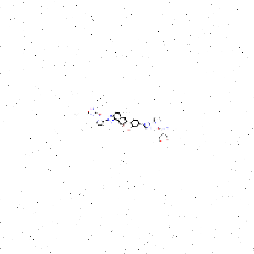 CC[C@H]1CC(c2ncc(-c3ccc4c(c3)COc3cc5c(ccc6nc(C7CC[C@H](C)N7C(=O)[C@@H](NC(=O)OC)C(C)C)[nH]c65)cc3-4)[nH]2)N(C(=O)C(NC=O)[C@@H]2CC(C)O[C@H](C)C2)C1